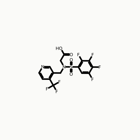 O=C(O)CN(Cc1cnccc1C(F)(F)F)S(=O)(=O)c1cc(F)c(F)c(F)c1F